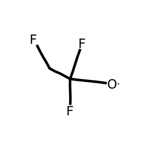 [O]C(F)(F)CF